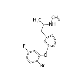 CNC(C)Cc1cccc(Oc2cc(F)ccc2Br)c1